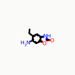 CCc1cc2[nH]c(=O)oc2cc1N